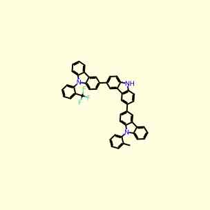 Cc1ccccc1-n1c2ccccc2c2cc(-c3ccc4[nH]c5ccc(-c6ccc7c(c6)c6ccccc6n7-c6ccccc6C(F)(F)F)cc5c4c3)ccc21